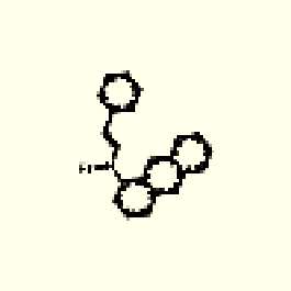 CCN(C=Cc1ccccc1)c1cccc2cc3ccccc3cc12